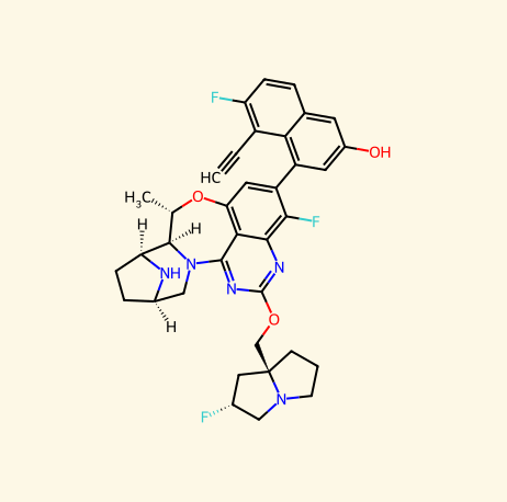 C#Cc1c(F)ccc2cc(O)cc(-c3cc4c5c(nc(OC[C@@]67CCCN6C[C@H](F)C7)nc5c3F)N3C[C@H]5CC[C@H](N5)[C@H]3[C@H](C)O4)c12